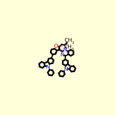 C\C=C/C=c1/oc2ccc(-c3ccc4c(c3)c3ccccc3n4-c3ccccc3)cc2/c1=C1\N=C(c2ccc3c(c2)c2ccccc2n3-c2ccccc2)c2ccccc2N1C